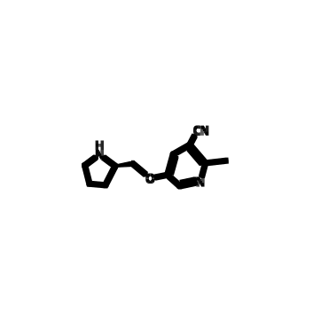 Cc1ncc(OC[C@H]2CCCN2)cc1C#N